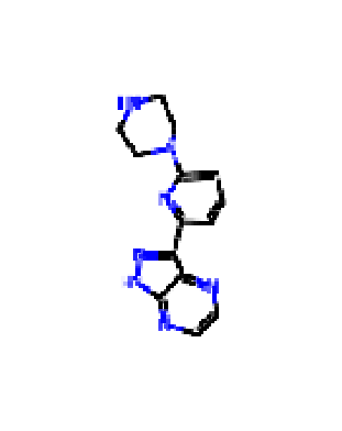 c1cc(-c2n[nH]c3nccnc23)nc(N2CCNCC2)c1